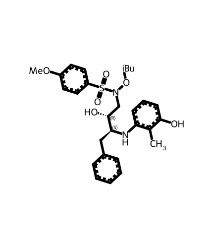 CCC(C)ON(C[C@@H](O)[C@H](Cc1ccccc1)Nc1cccc(O)c1C)S(=O)(=O)c1ccc(OC)cc1